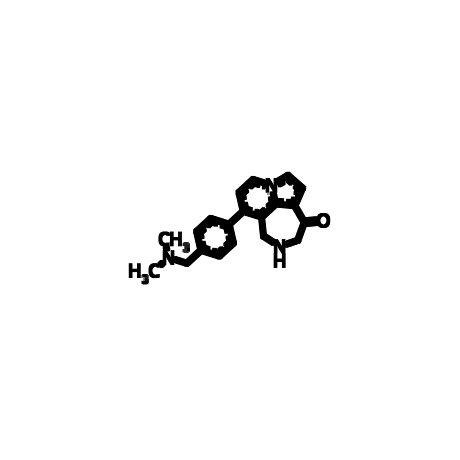 CN(C)Cc1ccc(-c2ccn3ccc4c3c2CNCC4=O)cc1